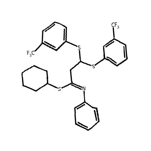 FC(F)(F)c1cccc(SC(CC(=Nc2ccccc2)SC2CCCCC2)Sc2cccc(C(F)(F)F)c2)c1